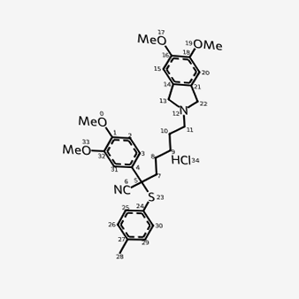 COc1ccc(C(C#N)(CCCCCN2Cc3cc(OC)c(OC)cc3C2)Sc2ccc(C)cc2)cc1OC.Cl